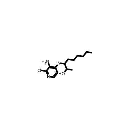 CCCCCCC(Nc1ccnc(Cl)c1N)C(C)O